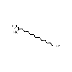 C=C(O)CCCCCCCCCCCCC(C)C